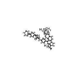 CC1(C)COC2(CCC3=C4C(c5ccc(COC(=O)Nc6ccc(N7CCCCC7)cc6)cc5)CC5(C)C(CF)CCC5C4CCC3C2)OC1